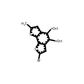 CCCCCCCCc1c(CCCCCCCC)c2cc(Br)sc2c2sc(C)cc12